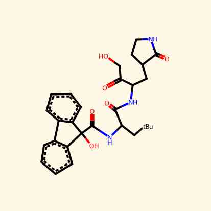 CC(C)(C)CC(NC(=O)C1(O)c2ccccc2-c2ccccc21)C(=O)NC(CC1CCNC1=O)C(=O)CO